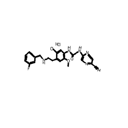 COc1cc(CCNCc2cccc(F)c2)c(Cl)cc1NC(=O)Nc1cnc(C#N)cn1.Cl